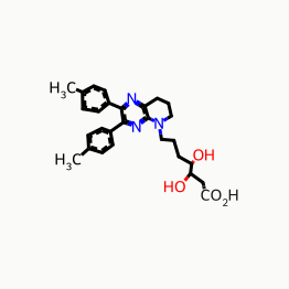 Cc1ccc(-c2nc3c(nc2-c2ccc(C)cc2)N(CCCC(O)C(O)CC(=O)O)CCC3)cc1